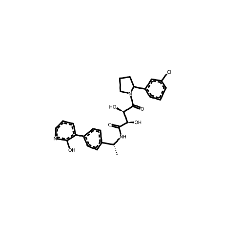 C[C@@H](NC(=O)[C@H](O)[C@@H](O)C(=O)N1CCCC1c1cccc(Cl)c1)c1ccc(-c2cccnc2O)cc1